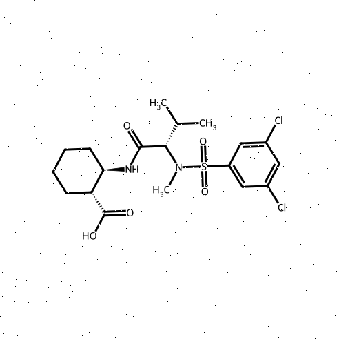 CC(C)[C@@H](C(=O)N[C@@H]1CCCC[C@H]1C(=O)O)N(C)S(=O)(=O)c1cc(Cl)cc(Cl)c1